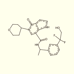 CC(NC(=O)c1cn(C2CCOCC2)c(=O)c2cc[nH]c12)c1cccc(C(F)(F)CO)c1